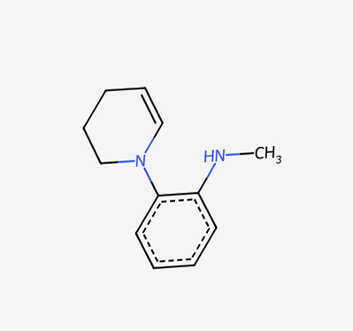 CNc1ccccc1N1C=CCCC1